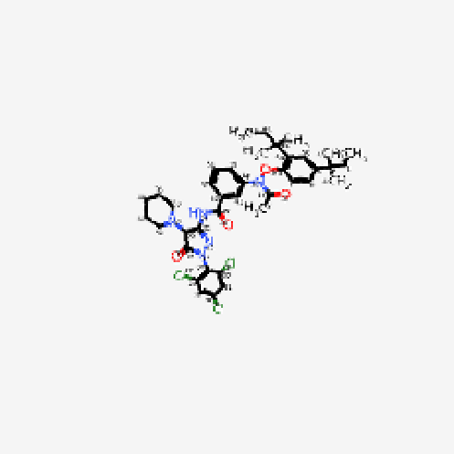 CCC(C)(C)c1ccc(ON(C(C)=O)c2cccc(C(=O)NC3=NN(c4c(Cl)cc(Cl)cc4Cl)C(=O)C3N3CCCCC3)c2)c(C(C)(C)CC)c1